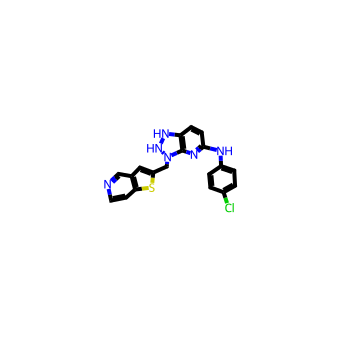 Clc1ccc(Nc2ccc3c(n2)N(Cc2cc4cnccc4s2)NN3)cc1